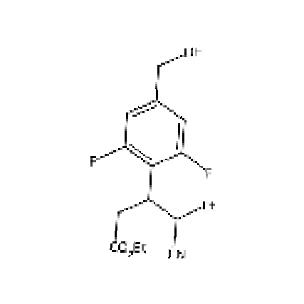 CCOC(=O)CC(c1c(F)cc(CO)cc1F)C(C#N)CC